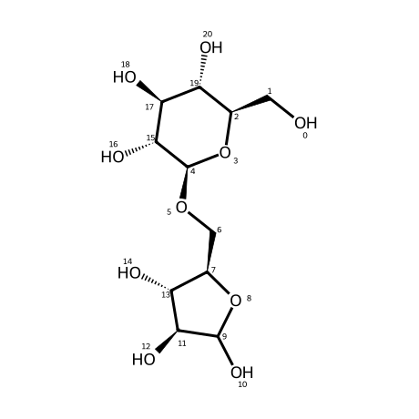 OC[C@H]1O[C@@H](OC[C@H]2OC(O)[C@@H](O)[C@@H]2O)[C@H](O)[C@@H](O)[C@@H]1O